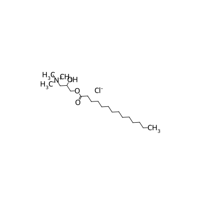 CCCCCCCCCCCCCC(=O)OCC(O)C[N+](C)(C)C.[Cl-]